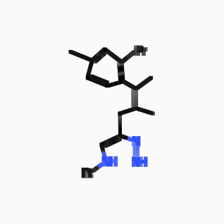 CCN/C=C(/C/C(C)=C(/C)c1ccc(C)cc1C(C)C)N=N